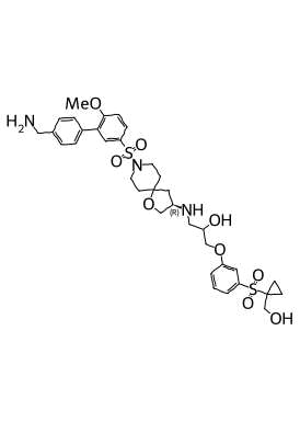 COc1ccc(S(=O)(=O)N2CCC3(CC2)C[C@@H](NCC(O)COc2cccc(S(=O)(=O)C4(CO)CC4)c2)CO3)cc1-c1ccc(CN)cc1